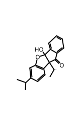 [CH2][CH]C12C(=O)c3ccccc3C1(O)Oc1cc(C(C)C)ccc12